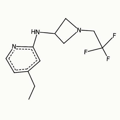 CCc1ccnc(NC2CN(CC(F)(F)F)C2)c1